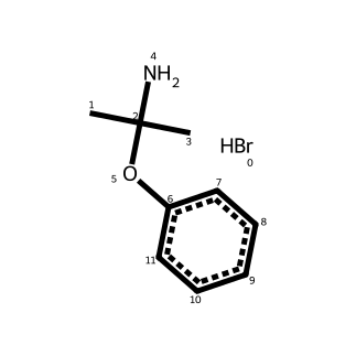 Br.CC(C)(N)Oc1ccccc1